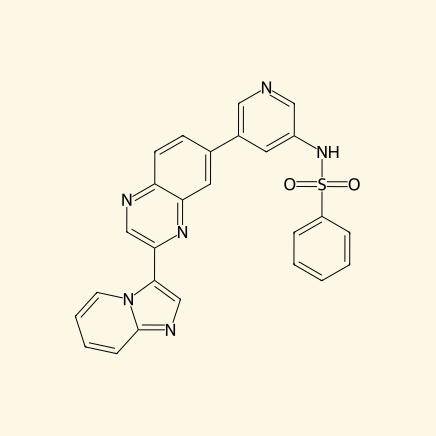 O=S(=O)(Nc1cncc(-c2ccc3ncc(-c4cnc5ccccn45)nc3c2)c1)c1ccccc1